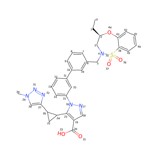 CC[C@@H]1CN(Cc2cccc(-c3cccc(-n4ncc(C(=O)O)c4C4CC4c4cn(C)nn4)c3)c2)S(=O)(=O)c2ccccc2O1